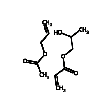 C=CC(=O)OCC(C)O.C=CCOC(C)=O